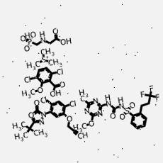 C#CCOc1cc(-n2nc(C(C)(C)C)oc2=O)c(Cl)cc1Cl.COc1c(Cl)ccc(Cl)c1C(=O)O.COc1nc(C)nc(NC(=O)NS(=O)(=O)c2ccccc2CCC(F)(F)F)n1.C[S+](C)C.O=C(O)CNCP(=O)([O-])O